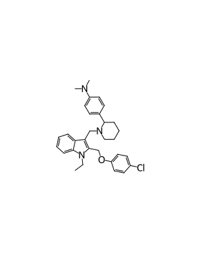 CCn1c(COc2ccc(Cl)cc2)c(CN2CCCCC2c2ccc(N(C)C)cc2)c2ccccc21